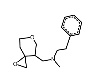 CN(CCc1ccccc1)CC1COCCC12CO2